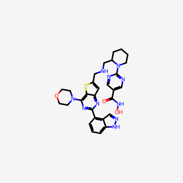 O=C(NO)c1cnc(N2CCCCC2CNCc2cc3nc(-c4cccc5[nH]ncc45)nc(N4CCOCC4)c3s2)nc1